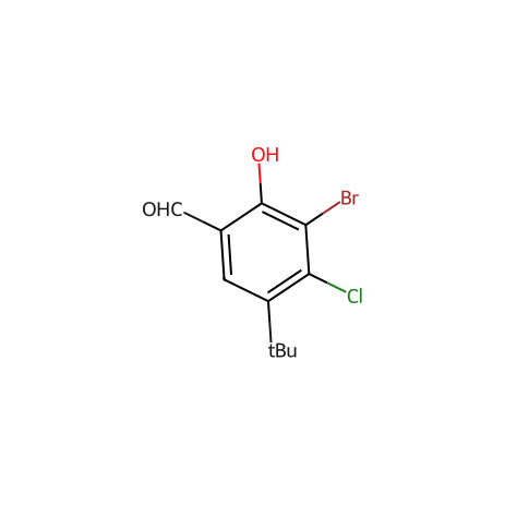 CC(C)(C)c1cc(C=O)c(O)c(Br)c1Cl